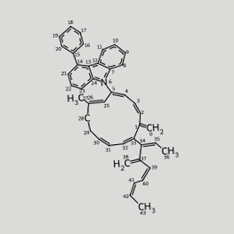 C=C1C=C/C=C(n2c3ccccc3c3c(-c4ccccc4)cccc32)\C=C(/C)CC\C=C/C=C1/C(=C/C)C(=C)/C=C\C=C/C